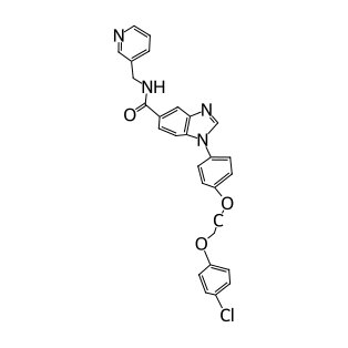 O=C(NCc1cccnc1)c1ccc2c(c1)ncn2-c1ccc(OCCOc2ccc(Cl)cc2)cc1